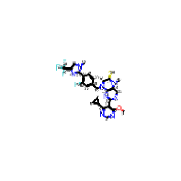 COc1ncnc(C2CC2)c1-c1ncc2c(n1)N(Cc1ccc(-c3nc(C(F)(F)F)cn3C)c(F)c1)CC(=S)N2C